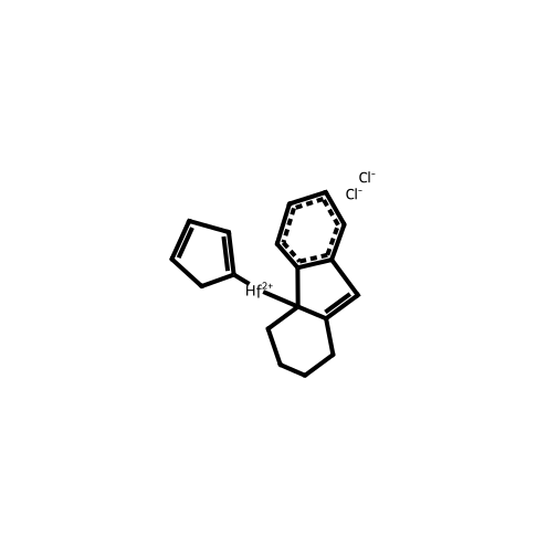 C1=CC[C]([Hf+2][C]23CCCCC2=Cc2ccccc23)=C1.[Cl-].[Cl-]